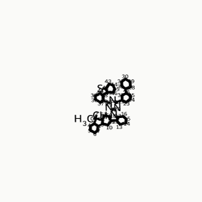 CC1(C)c2ccccc2-c2cc3c4ccccc4n(-c4nc(-c5cccc(-c6ccccc6)c5)nc(-c5cccc6sc7ccccc7c56)n4)c3cc21